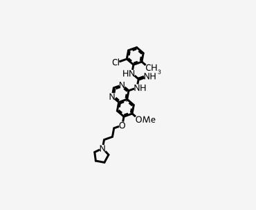 COc1cc2c(NC(=N)Nc3c(C)cccc3Cl)ncnc2cc1OCCCN1CCCC1